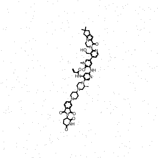 C=CC(=O)Nc1cc(Nc2cc(-c3ccnc(N4CCn5c(cc6c5CC(C)(C)C6)C4=O)c3CO)cn(C)c2=O)ncc1N1CCN(C2CCN(c3ccc4c(c3)C(=O)N(C3CCC(=O)NC3=O)C4=O)CC2)C[C@@H]1C